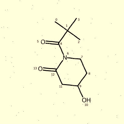 CC(C)(C)C(=O)N1CCC(O)CC1=O